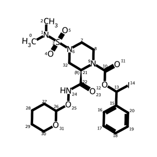 CN(C)S(=O)(=O)N1CCN(C(=O)OC(I)c2ccccc2)[C@@H](C(=O)NOC2CCCCO2)C1